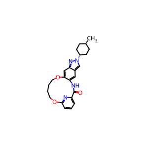 C[C@H]1CC[C@H](n2cc3cc4c(cc3n2)OCCCCOc2cccc(n2)C(=O)N4)CC1